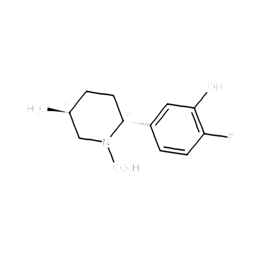 C[C@H]1CC[C@H](c2ccc(F)c(O)c2)N(C(=O)O)C1